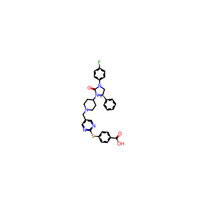 O=C(O)c1ccc(Sc2ncc(CN3CCC(N4C(=O)N(c5ccc(F)cc5)C[C@H]4c4ccccc4)CC3)cn2)cc1